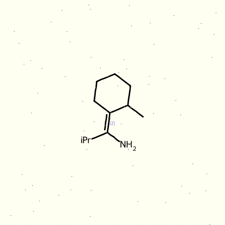 CC(C)/C(N)=C1\CCCCC1C